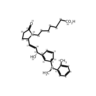 Cc1ccccc1N(C)c1cccc([C@H](O)/C=C/C2CCC(=O)N2CCCCCCC(=O)O)c1